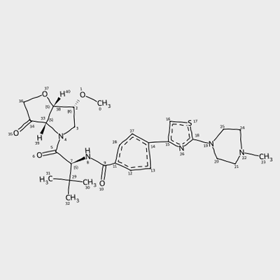 CO[C@@H]1CN(C(=O)[C@@H](NC(=O)c2ccc(-c3csc(N4CCN(C)CC4)n3)cc2)C(C)(C)C)[C@@H]2C(=O)CO[C@@H]21